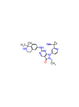 CCn1c(=O)c2cnc(Nc3ccc4c(c3)CCNC4(C)C)nc2n1-c1ccnc(C2(C#N)CC2)c1